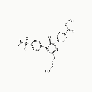 CN(C)S(=O)(=O)c1ccc(-n2cc(CCCO)nc(N3CCN(C(=O)OC(C)(C)C)CC3)c2=O)cc1